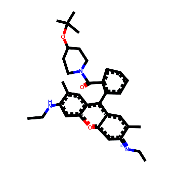 CC/N=c1/cc2oc3cc(NCC)c(C)cc3c(-c3ccccc3C(=O)N3CCC(OC(C)(C)C)CC3)c-2cc1C